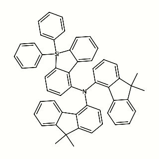 CC1(C)c2ccccc2-c2c(N(c3cccc4c3-c3ccccc3C4(C)C)c3cccc4c3-c3ccccc3[Si]4(c3ccccc3)c3ccccc3)cccc21